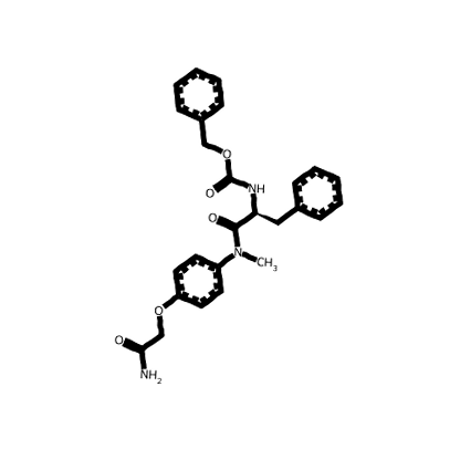 CN(C(=O)[C@H](Cc1ccccc1)NC(=O)OCc1ccccc1)c1ccc(OCC(N)=O)cc1